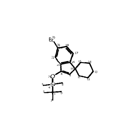 CC(C)(C)[Si](C)(C)OC1=CC2(CCCCC2)c2ccc(Br)cc21